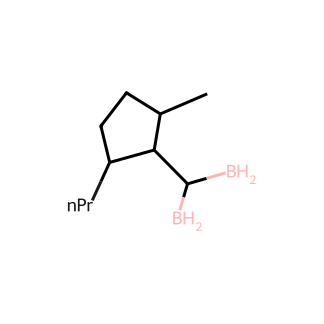 BC(B)C1C(C)CCC1CCC